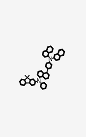 CC1(C)c2ccccc2-c2ccc(N(c3ccccc3)c3cccc4c(-c5ccc(N(c6ccc7ccccc7c6)c6cccc7ccccc67)cc5)cccc34)cc21